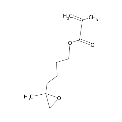 C=C(C)C(=O)OCCCCC1(C)CO1